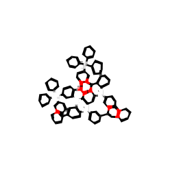 c1ccc(-c2ccc(N(c3cc4c5c(c3)N(c3ccc([Si](c6ccccc6)(c6ccccc6)c6ccccc6)cc3)c3ccc([Si](c6ccccc6)(c6ccccc6)c6ccccc6)cc3B5c3cc(-c5ccccc5)ccc3N4c3cccc(-c4ccccc4)c3)c3ccccc3-c3ccccc3)cc2)cc1